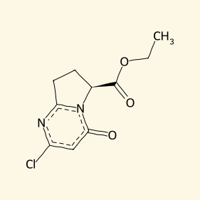 CCOC(=O)[C@@H]1CCc2nc(Cl)cc(=O)n21